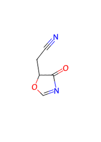 N#CCC1OC=NC1=O